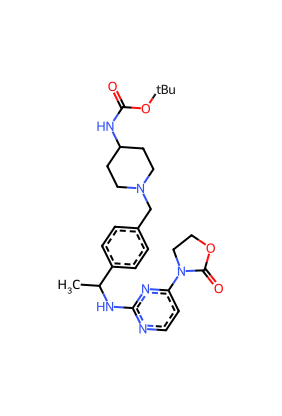 CC(Nc1nccc(N2CCOC2=O)n1)c1ccc(CN2CCC(NC(=O)OC(C)(C)C)CC2)cc1